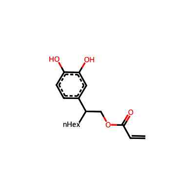 C=CC(=O)OCC(CCCCCC)c1ccc(O)c(O)c1